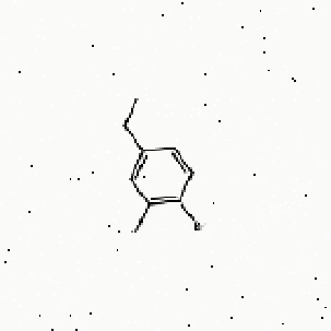 [CH2]c1cc(CC)ccc1Br